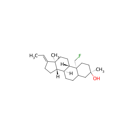 C/C=C1\CC[C@H]2[C@@H]3CCC4C[C@](C)(O)CC[C@]4(CF)[C@H]3CC[C@]12C